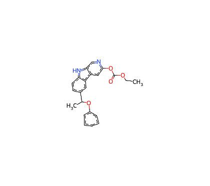 CCOC(=O)Oc1cc2c(cn1)[nH]c1ccc(C(C)Oc3ccccc3)cc12